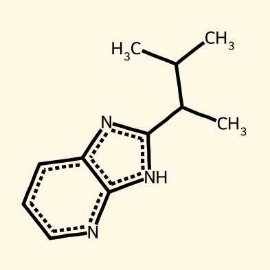 CC(C)C(C)c1nc2cccnc2[nH]1